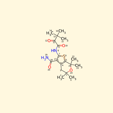 CC1(C)Cc2c(sc(NC(=O)C(=O)C(C)(C)C)c2C(N)=O)C(C)(C)O1